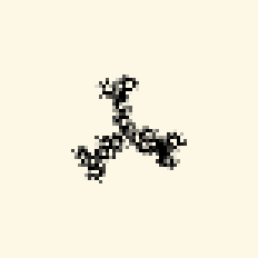 c1ccc(N(c2ccccc2)c2ccc(-c3ccc(N(c4ccc5c(ccc6cc(N(c7ccccc7)c7ccccc7)ccc65)c4)c4cc5ccc6cc(N(c7ccccc7)c7ccccc7)cc7ccc(c4)c5c67)cc3)cc2)cc1